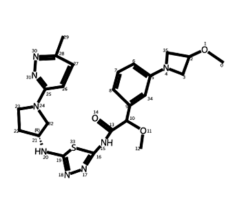 COC1CN(c2cccc(C(OC)C(=O)Nc3nnc(N[C@@H]4CCN(c5ccc(C)nn5)C4)s3)c2)C1